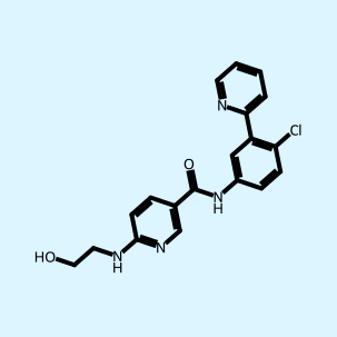 O=C(Nc1ccc(Cl)c(-c2ccccn2)c1)c1ccc(NCCO)nc1